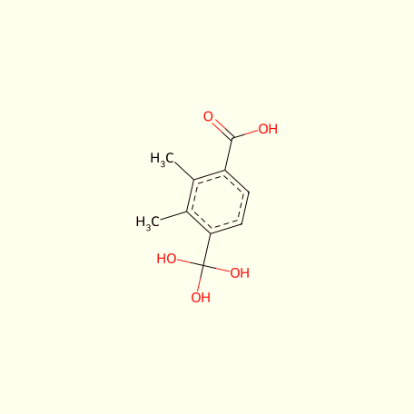 Cc1c(C(=O)O)ccc(C(O)(O)O)c1C